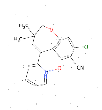 CC1(C)C=C(c2cccc[n+]2[O-])c2cc(C#N)c(Cl)cc2OC1